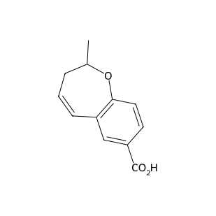 CC1CC=Cc2cc(C(=O)O)ccc2O1